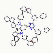 c1ccc(-c2ccc(N3c4cc(-c5nc(-c6cc(-c7ccccc7)cc(-c7ccccc7)c6)nc(-c6cc(-c7ccccc7)cc(-c7ccccc7)c6)n5)cc5c4B(c4ccc6c(ccc7ccccc76)c43)c3ccc4c(ccc6ccccc64)c3N5c3ccc(-c4ccccc4)cc3)cc2)cc1